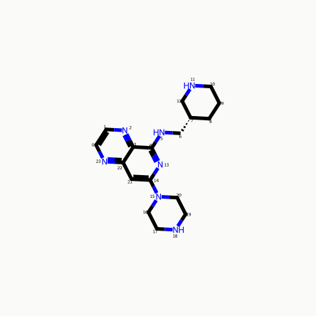 c1cnc2c(NC[C@H]3CCCNC3)nc(N3CCNCC3)cc2n1